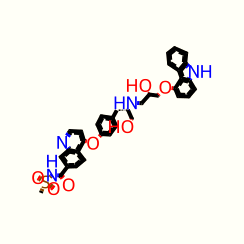 CS(=O)(=O)NC(=O)c1ccc2c(Oc3ccc(C[C@@H](CO)NC[C@H](O)COc4cccc5[nH]c6ccccc6c45)cc3)ccnc2c1